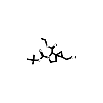 CCOC(=O)C1N(C(=O)OC(C)(C)C)CCC12CC2CO